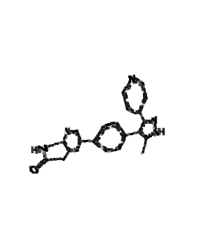 Cc1[nH]nc(-c2ccncc2)c1-c1ccc(-c2cnc3c(c2)CC(=O)N3)cc1